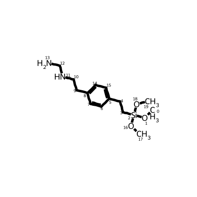 CO[Si](CCc1ccc(CCNCN)cc1)(OC)OC